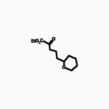 CCOC(=O)C(=O)CCCC1CCCCO1